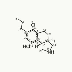 CCCc1ccc2c(c1Cl)CC[C@@]1(C)CNC[C@H]21.Cl